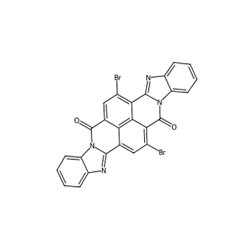 O=c1c2cc(Br)c3c4c(c(Br)cc(c24)c2nc4ccccc4n12)c(=O)n1c2ccccc2nc31